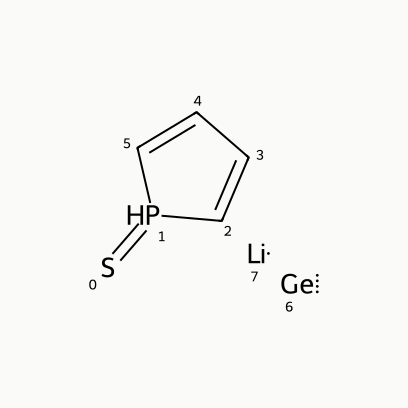 S=[PH]1C=CC=C1.[Ge].[Li]